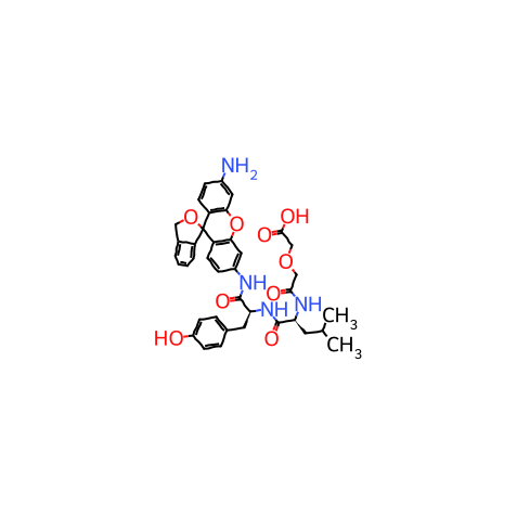 CC(C)C[C@H](NC(=O)COCC(=O)O)C(=O)N[C@@H](Cc1ccc(O)cc1)C(=O)Nc1ccc2c(c1)Oc1cc(N)ccc1C21OCc2ccccc21